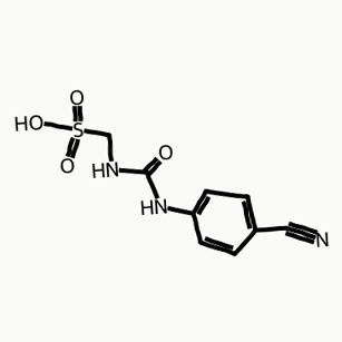 N#Cc1ccc(NC(=O)NCS(=O)(=O)O)cc1